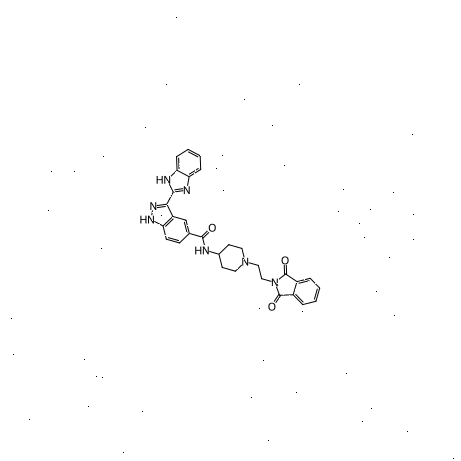 O=C(NC1CCN(CCN2C(=O)c3ccccc3C2=O)CC1)c1ccc2[nH]nc(-c3nc4ccccc4[nH]3)c2c1